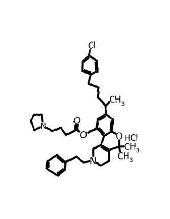 CC(CCCc1ccc(Cl)cc1)c1cc(OC(=O)CCCN2CCCC2)c2c(c1)OC(C)(C)C1=C2CN(CCc2ccccc2)CC1.Cl